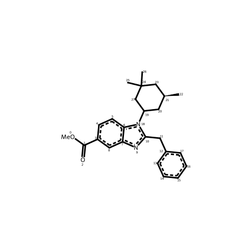 COC(=O)c1ccc2c(c1)nc(Cc1ccccc1)n2C1C[C@H](C)CC(C)(C)C1